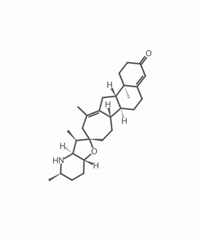 CC1=C2C[C@H]3[C@@H](CCC4=CC(=O)CC[C@@]43C)[C@@H]2CC[C@@]2(C1)O[C@@H]1CC[C@@H](C)N[C@H]1[C@H]2C